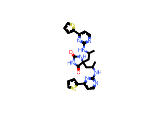 CC(CC1(CC(C)Nc2nccc(-c3cccs3)n2)NC(=O)NC1=O)Nc1nccc(-c2cccs2)n1